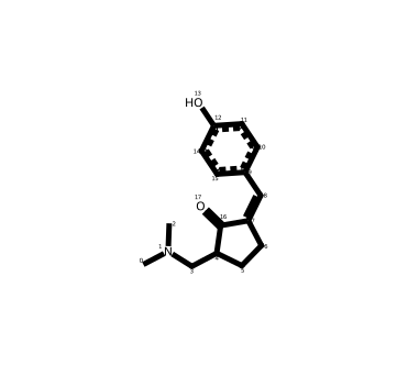 CN(C)CC1CCC(=Cc2ccc(O)cc2)C1=O